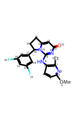 CCc1nc(OC)ccc1Nc1nc(=O)cc2n1C(c1cc(F)cc(F)c1)CC2